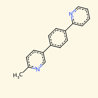 Cc1ccc(-c2ccc(-c3ccccn3)cc2)cn1